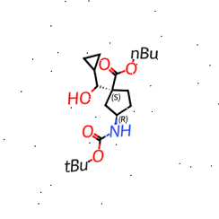 CCCCOC(=O)[C@@]1(C(O)C2CC2)CC[C@@H](NC(=O)OC(C)(C)C)C1